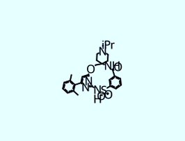 Cc1cccc(C)c1-c1cc2nc(n1)NS(=O)(=O)c1cccc(c1)C(=O)NC1(CCN(C(C)C)CC1)CO2